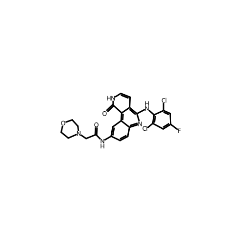 O=C(CN1CCOCC1)Nc1ccc2nc(Nc3c(Cl)cc(F)cc3Cl)c3cc[nH]c(=O)c3c2c1